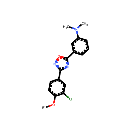 CC(C)Oc1ccc(-c2noc(-c3cccc(N(C)C)c3)n2)cc1Cl